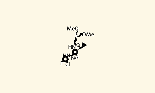 COCCN(CC=CC(=O)Nc1cc2c(Nc3ccc(F)c(Cl)c3)ncnc2cc1OCC1CC1)CCOC